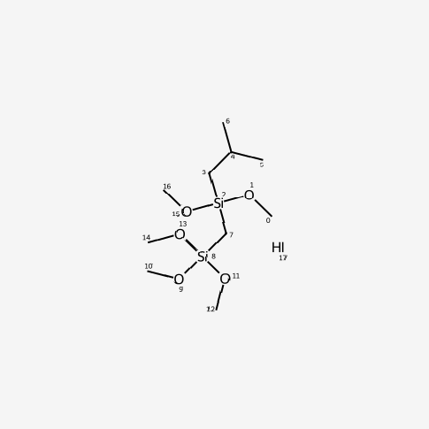 CO[Si](CC(C)C)(C[Si](OC)(OC)OC)OC.I